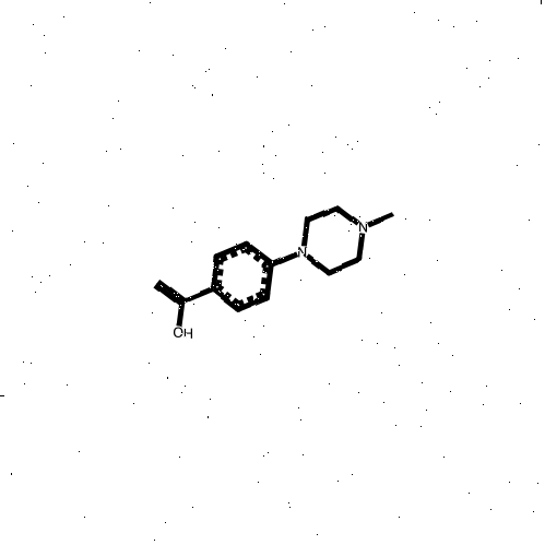 C=C(O)c1ccc(N2CCN(C)CC2)cc1